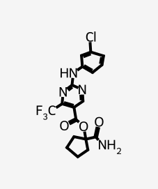 NC(=O)C1(OC(=O)c2cnc(Nc3cccc(Cl)c3)nc2C(F)(F)F)CCCC1